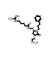 N=C(N)NCCCCC(=O)NC[C@@H]1C[C@@H](CCC(=O)O)C(=O)N1CCCc1ccccc1